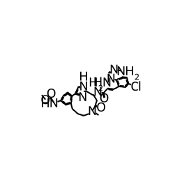 COC(=O)Nc1ccc2c(c1)CCCCN(C)C(=O)C[C@H](NC(=O)/C=C/c1cc(Cl)ccc1N(N)/C=N\N)c1nc-2c[nH]1